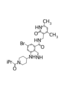 Cc1cc(C)c(CNC(=O)c2cc(Br)cc(NC3CCN(C(=O)C(C)C)CC3)c2C=N)c(=O)[nH]1